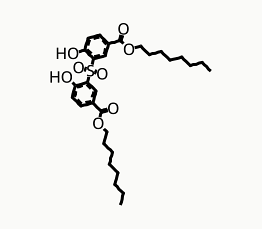 CCCCCCCCOC(=O)c1ccc(O)c(S(=O)(=O)c2cc(C(=O)OCCCCCCCC)ccc2O)c1